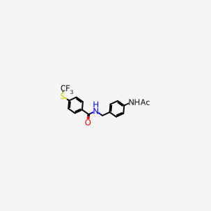 CC(=O)Nc1ccc(CNC(=O)c2ccc(SC(F)(F)F)cc2)cc1